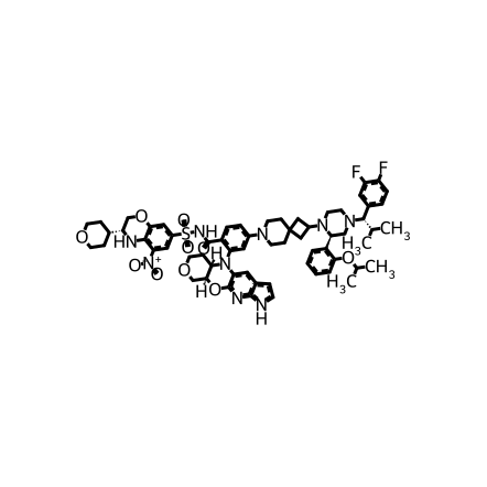 CC(C)Oc1ccccc1[C@@H]1CN([C@H](c2ccc(F)c(F)c2)C(C)C)CCN1C1CC2(CCN(c3ccc(C(=O)NS(=O)(=O)c4cc5c(c([N+](=O)[O-])c4)N[C@H](C4CCOCC4)CO5)c(N4c5cc6cc[nH]c6nc5O[C@H]5COCC[C@@H]54)c3)CC2)C1